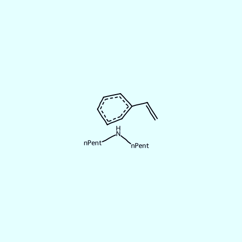 C=Cc1ccccc1.CCCCCNCCCCC